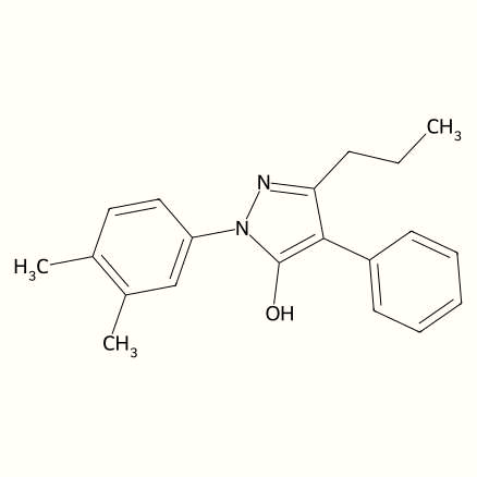 CCCc1nn(-c2ccc(C)c(C)c2)c(O)c1-c1ccccc1